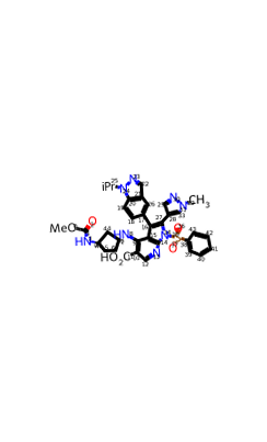 COC(=O)N[C@@H]1CC[C@@H](Nc2c(C(=O)O)cnc3c2c(-c2ccc4c(cnn4C(C)C)c2)c(-c2cnn(C)c2)n3S(=O)(=O)c2ccccc2)C1